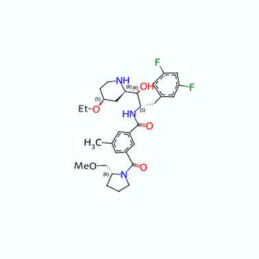 CCO[C@H]1CCN[C@@H]([C@@H](O)[C@H](Cc2cc(F)cc(F)c2)NC(=O)c2cc(C)cc(C(=O)N3CCC[C@@H]3COC)c2)C1